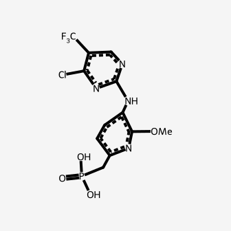 COc1nc(CP(=O)(O)O)ccc1Nc1ncc(C(F)(F)F)c(Cl)n1